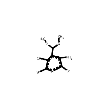 COC(OC)c1c(N)c(Br)nc(Br)c1Cl